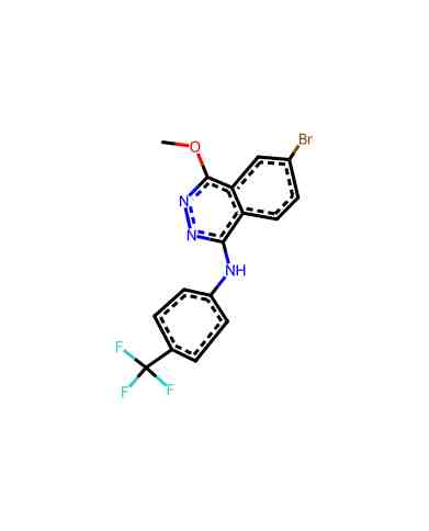 COc1nnc(Nc2ccc(C(F)(F)F)cc2)c2ccc(Br)cc12